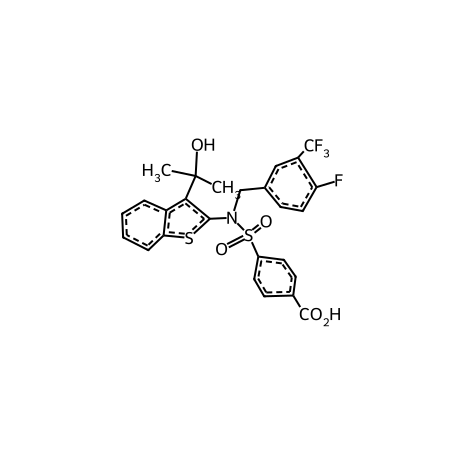 CC(C)(O)c1c(N(Cc2ccc(F)c(C(F)(F)F)c2)S(=O)(=O)c2ccc(C(=O)O)cc2)sc2ccccc12